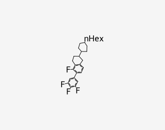 CCCCCCC1CCC(C2CCc3c(ccc(-c4cc(F)c(F)c(F)c4)c3F)C2)CC1